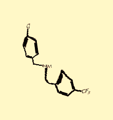 FC(F)(F)c1ccc(CNCc2ccc(Cl)cc2)cc1